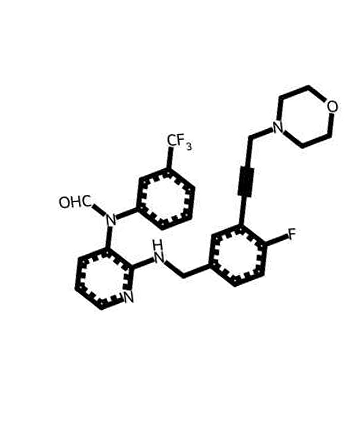 O=CN(c1cccc(C(F)(F)F)c1)c1cccnc1NCc1ccc(F)c(C#CCN2CCOCC2)c1